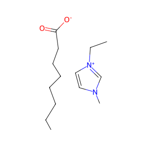 CCCCCCCC(=O)[O-].CC[n+]1ccn(C)c1